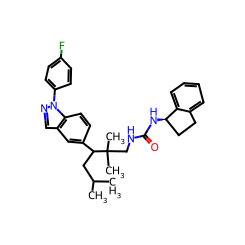 CC(C)CC(c1ccc2c(cnn2-c2ccc(F)cc2)c1)C(C)(C)CNC(=O)N[C@@H]1CCc2ccccc21